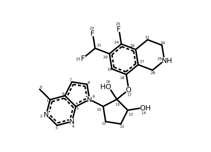 Cc1ncnc2c1ccn2C1CCC(O)C1(O)Oc1cc(C(F)F)c(F)c2c1CNCC2